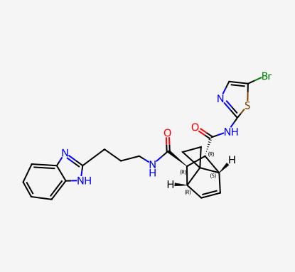 O=C(NCCCc1nc2ccccc2[nH]1)[C@H]1[C@H](C(=O)Nc2ncc(Br)s2)[C@@H]2C=C[C@H]1C21CC1